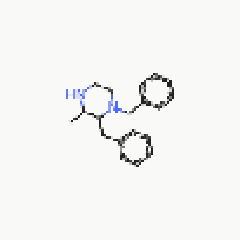 CC1NCCN(Cc2ccccc2)C1Cc1ccccc1